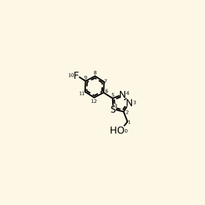 OCc1nnc(-c2ccc(F)cc2)s1